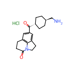 Cl.NC[C@H]1CC[C@H](C(=O)c2cc3c4c(c2)CCN4C(=O)CC3)CC1